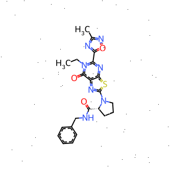 CCn1c(-c2nc(C)no2)nc2sc(N3CCC[C@@H]3C(=O)NCc3ccccc3)nc2c1=O